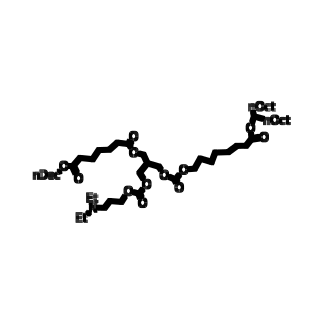 CCCCCCCCCCOC(=O)CCCCCC(=O)OCC(COC(=O)OCCCCCCCC(=O)OC(CCCCCCCC)CCCCCCCC)COC(=O)OCCCN(CC)CC